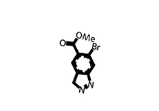 COC(=O)c1cc2c(cc1Br)N=NC2